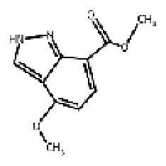 COC(=O)c1ccc(OC)c2c[nH]nc12